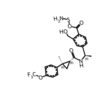 C[C@@H](NC(=O)[C@@H]1C[C@@]1(C)c1ccc(OC(F)(F)F)cc1)c1ccc(C(=O)OSN)c(CO)c1